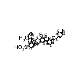 CC1(C)COC[C@H]1n1c(Cc2c(F)cc(-c3ccnc(OCc4ccc(F)cc4)n3)c(F)c2F)nc2ccc(C(=O)O)cc21